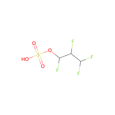 O=S(=O)(O)OC(F)C(F)C(F)F